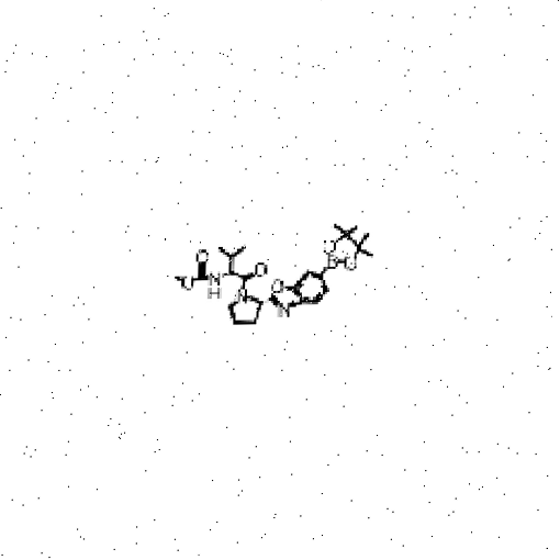 COC(=O)N[C@H](C(=O)N1CCC[C@H]1c1nc2ccc(B3OC(C)(C)C(C)(C)O3)cc2o1)C(C)C